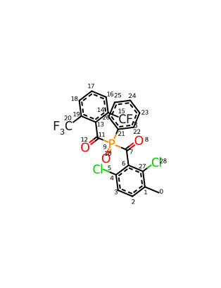 Cc1ccc(Cl)c(C(=O)P(=O)(C(=O)c2c(C(F)(F)F)cccc2C(F)(F)F)c2ccccc2)c1Cl